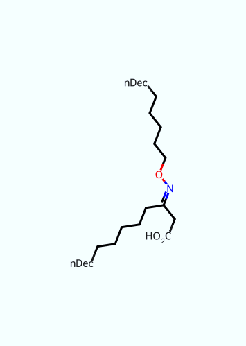 CCCCCCCCCCCCCCCO/N=C(\CCCCCCCCCCCCCCC)CC(=O)O